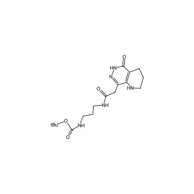 CC(C)(C)OC(=O)NCCCNC(=O)Cc1n[nH]c(=O)c2c1NCCC2